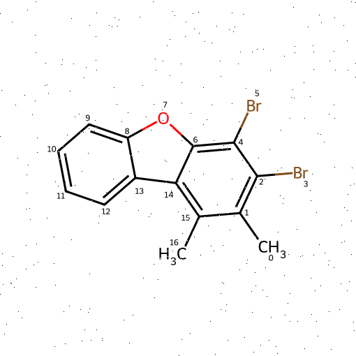 Cc1c(Br)c(Br)c2oc3ccccc3c2c1C